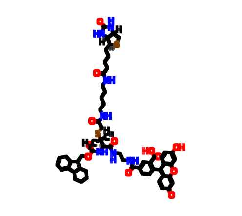 CC(C)(SCC(=O)NCCCCCNC(=O)CCCC[C@@H]1SC[C@@H]2NC(=O)N[C@@H]21)[C@H](NC(=O)OCC1C2CC=CC=C2C2CCCCC21)C(=O)NCCNC(=O)c1ccc(-c2c3ccc(=O)cc-3oc3cc(O)ccc23)c(C(=O)O)c1